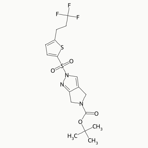 CC(C)(C)OC(=O)N1Cc2cn(S(=O)(=O)c3ccc(CCC(F)(F)F)s3)nc2C1